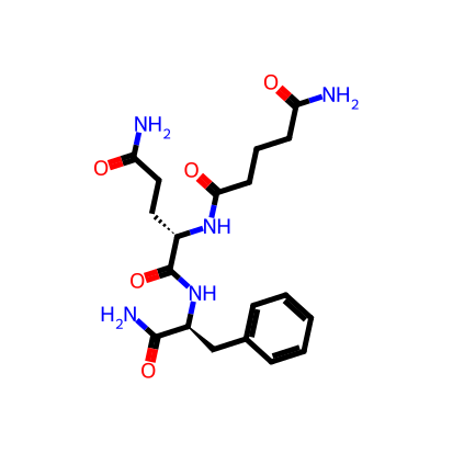 NC(=O)CCCC(=O)N[C@@H](CCC(N)=O)C(=O)N[C@@H](Cc1ccccc1)C(N)=O